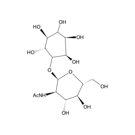 CC(=O)N[C@H]1[C@@H](OC2[C@H](O)[C@H](O)C(O)[C@H](O)[C@H]2O)O[C@H](CO)[C@@H](O)[C@@H]1O